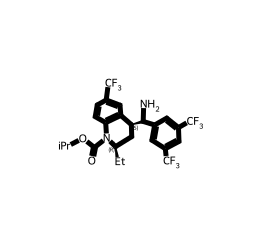 CC[C@@H]1C[C@H](C(N)c2cc(C(F)(F)F)cc(C(F)(F)F)c2)c2cc(C(F)(F)F)ccc2N1C(=O)OC(C)C